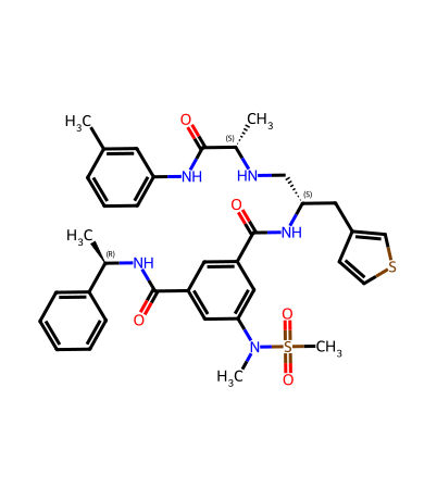 Cc1cccc(NC(=O)[C@H](C)NC[C@H](Cc2ccsc2)NC(=O)c2cc(C(=O)N[C@H](C)c3ccccc3)cc(N(C)S(C)(=O)=O)c2)c1